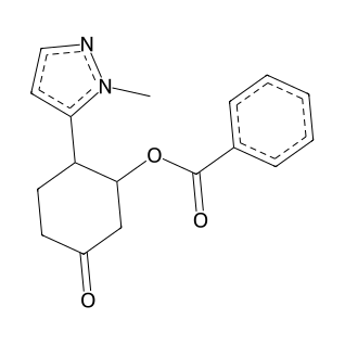 Cn1nccc1C1CCC(=O)CC1OC(=O)c1ccccc1